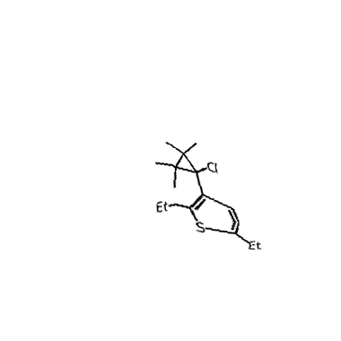 CCc1cc(C2(Cl)C(C)(C)C2(C)C)c(CC)s1